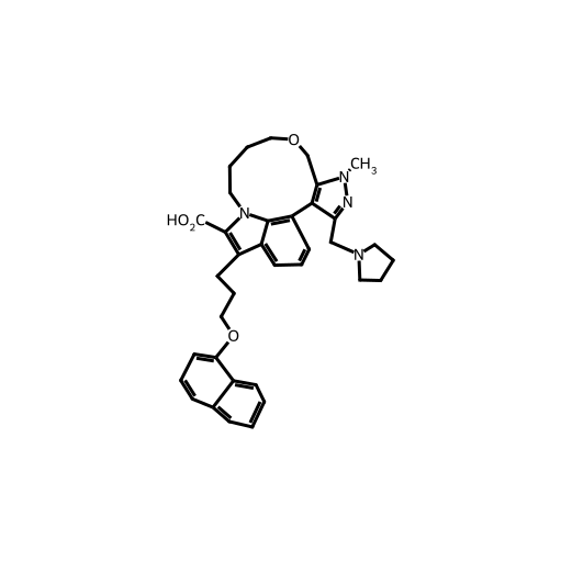 Cn1nc(CN2CCCC2)c2c1COCCCCn1c(C(=O)O)c(CCCOc3cccc4ccccc34)c3cccc-2c31